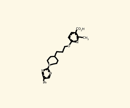 Cc1nc(OCCCC2CCN(c3ncc(C(C)C)cn3)CC2)ccc1C(=O)O